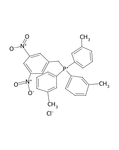 Cc1cccc([P+](Cc2cc([N+](=O)[O-])cc([N+](=O)[O-])c2)(c2cccc(C)c2)c2cccc(C)c2)c1.[Cl-]